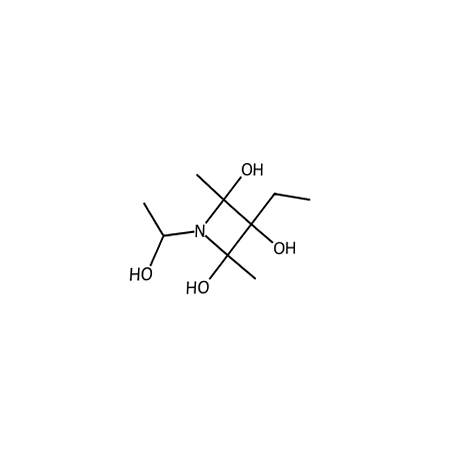 CCC1(O)C(C)(O)N(C(C)O)C1(C)O